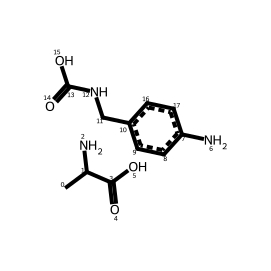 CC(N)C(=O)O.Nc1ccc(CNC(=O)O)cc1